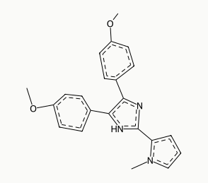 COc1ccc(-c2nc(-c3cccn3C)[nH]c2-c2ccc(OC)cc2)cc1